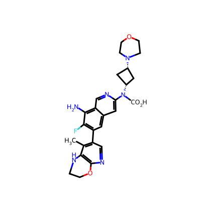 Cc1c(-c2cc3cc(N(C(=O)O)[C@H]4C[C@@H](N5CCOCC5)C4)ncc3c(N)c2F)cnc2c1NCCO2